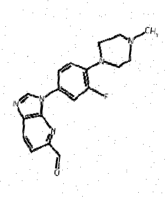 CN1CCN(c2ccc(-n3cnc4ccc(C=O)nc43)cc2F)CC1